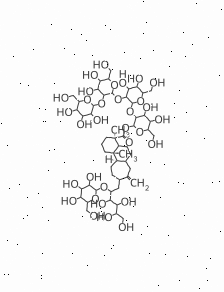 C=C1CC2CCC3[C@](C)(C(=O)OC4OC(CO)C(O)C(O)C4OC4OC(CO)C(O)C(O)C4OC4OC(CO)C(O)C(O)C4OC4OC(CO)C(O)C(O)C4O)CCC[C@@]3(C)[C@@H]2CCC1CC(OC1OC(CO)C(O)C(O)C1O)C(O)C(O)C(O)CO